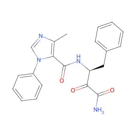 Cc1ncn(-c2ccccc2)c1C(=O)N[C@@H](Cc1ccccc1)C(=O)C(N)=O